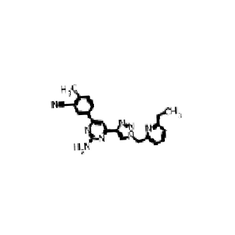 CCc1cccc(Cn2cc(-c3cc(-c4ccc(C)c(C#N)c4)nc(N)n3)nn2)n1